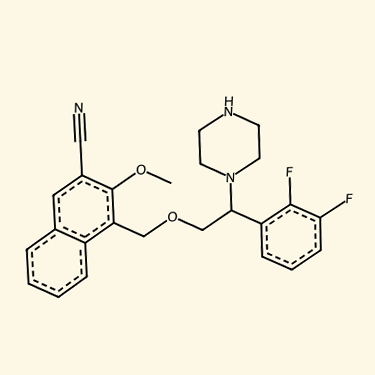 COc1c(C#N)cc2ccccc2c1COCC(c1cccc(F)c1F)N1CCNCC1